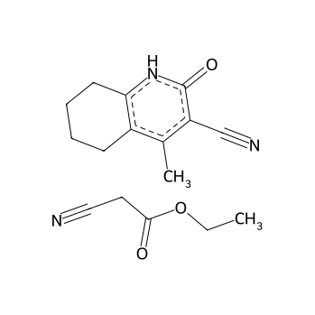 CCOC(=O)CC#N.Cc1c2c([nH]c(=O)c1C#N)CCCC2